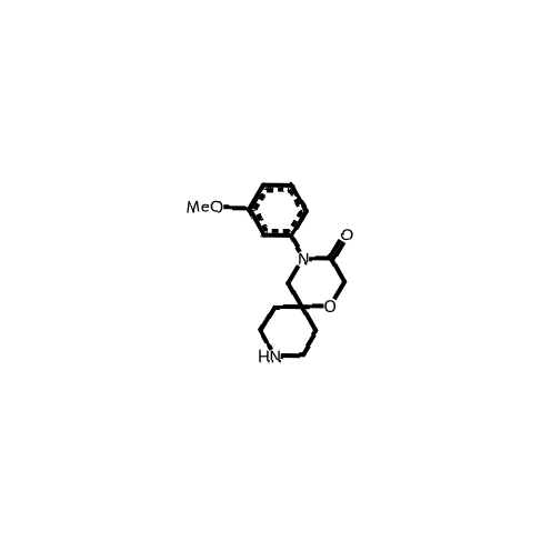 COc1cccc(N2CC3(CCNCC3)OCC2=O)c1